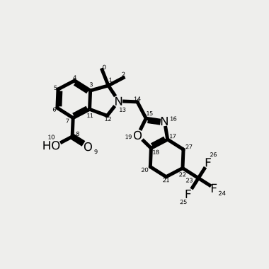 CC1(C)c2cccc(C(=O)O)c2CN1Cc1nc2c(o1)CCC(C(F)(F)F)C2